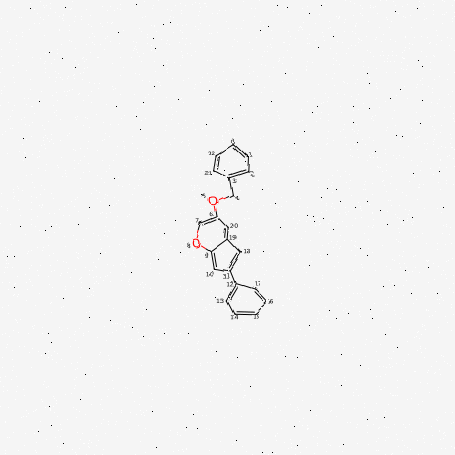 c1ccc(COc2coc3cc(-c4ccccc4)cc-3c2)cc1